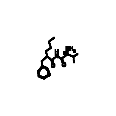 CCCCC(Cc1ccccc1)C(=O)NC(=O)[C@@H](N)C(C)C